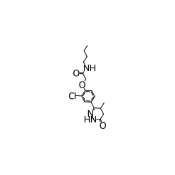 CCCCNC(=O)COc1ccc(C2=NNC(=O)CC2C)cc1Cl